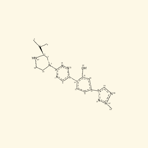 CC(C)[C@H]1CN(c2ncc(-c3ccc(-c4cnn(C)n4)cc3O)nn2)CCN1